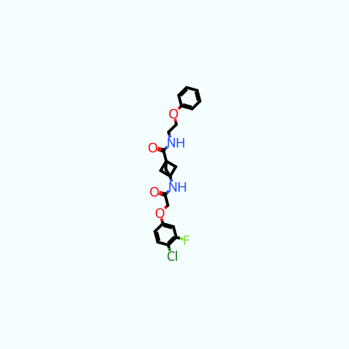 O=C(COc1ccc(Cl)c(F)c1)NC12CC(C(=O)NCCOc3ccccc3)(C1)C2